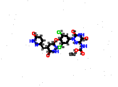 CC(C)(C)OC(=O)Nc1nn(-c2cc(Cl)c(Oc3cc(Cc4ccc(=O)[nH]n4)c(=O)[nH]n3)c(Cl)c2)c(=O)[nH]c1=O